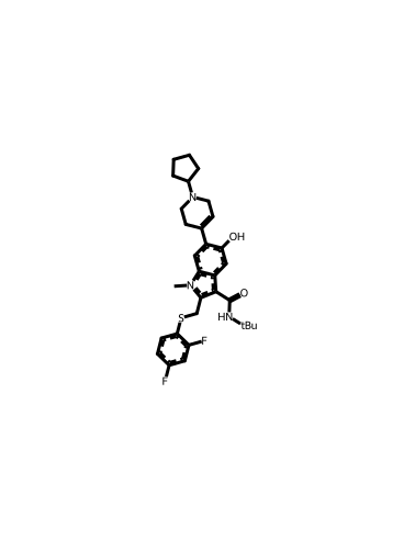 Cn1c(CSc2ccc(F)cc2F)c(C(=O)NC(C)(C)C)c2cc(O)c(C3=CCN(C4CCCC4)CC3)cc21